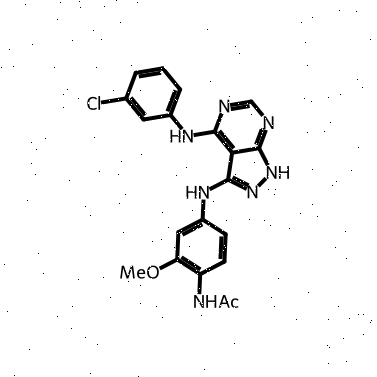 COc1cc(Nc2n[nH]c3ncnc(Nc4cccc(Cl)c4)c23)ccc1NC(C)=O